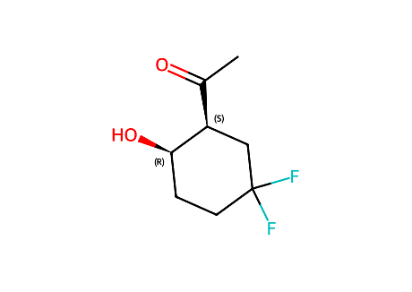 CC(=O)[C@H]1CC(F)(F)CC[C@H]1O